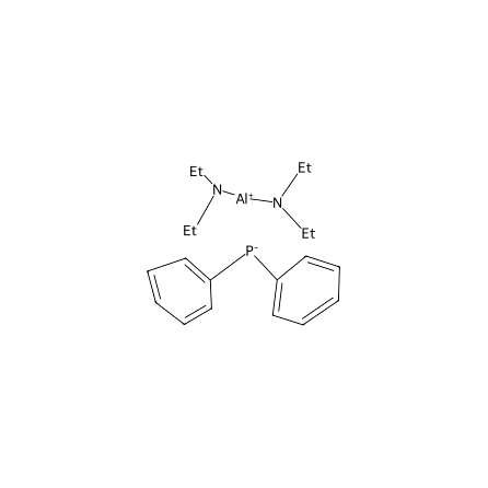 CC[N](CC)[Al+][N](CC)CC.c1ccc([P-]c2ccccc2)cc1